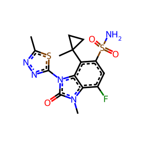 Cc1nnc(-n2c(=O)n(C)c3c(F)cc(S(N)(=O)=O)c(C4(C)CC4)c32)s1